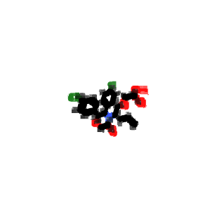 CCC[C@@H](COCC(=O)O)N1C(=O)CO[C@@H](c2ccc(Cl)cc2)[C@H]1c1ccc(Cl)cc1